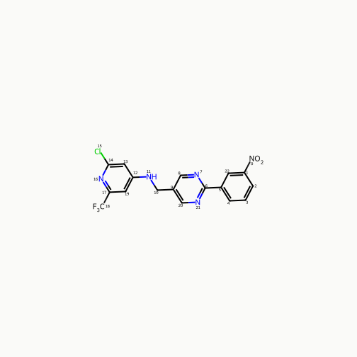 O=[N+]([O-])c1cccc(-c2ncc(CNc3cc(Cl)nc(C(F)(F)F)c3)cn2)c1